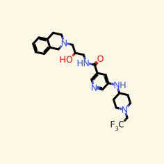 O=C(NCC(O)CN1CCc2ccccc2C1)c1cncc(NC2CCN(CC(F)(F)F)CC2)c1